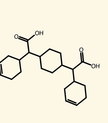 O=C(O)C(C1CC=CCC1)C1CCC(C(C(=O)O)C2CC=CCC2)CC1